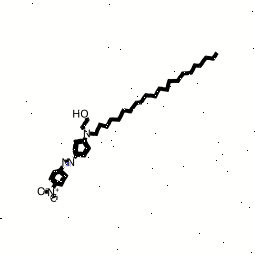 CCCCCCCCCCCCCCCCCCCCCCN(CCO)c1ccc(/N=N/c2ccc([N+](=O)[O-])cc2)cc1